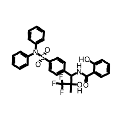 CC(O)(C(NC(=O)c1ccccc1O)c1ccc(S(=O)(=O)N(c2ccccc2)c2ccccc2)cc1)C(F)(F)F